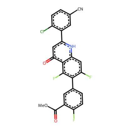 COC(=O)c1cc(-c2c(F)cc3[nH]c(-c4cc(C#N)ccc4Cl)cc(=O)c3c2F)ccc1F